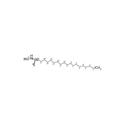 CCCCCCCCCCCCCCCCCCOC(=S)[NH][Mo]